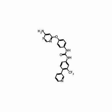 Nc1cc(Oc2ccc(NC(=O)Nc3ccc(-c4cccnc4)c(C(F)(F)F)c3)cc2)ncn1